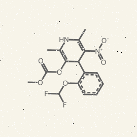 COC(=O)OC1=C(C)NC(C)=C([N+](=O)[O-])C1c1ccccc1OC(F)F